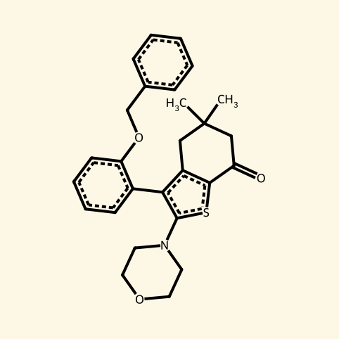 CC1(C)CC(=O)c2sc(N3CCOCC3)c(-c3ccccc3OCc3ccccc3)c2C1